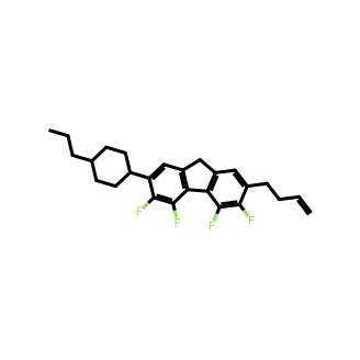 C=CCCc1cc2c(c(F)c1F)-c1c(cc(C3CCC(CCC)CC3)c(F)c1F)C2